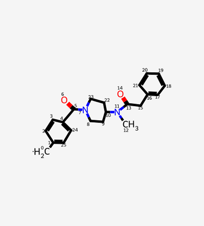 [CH2]c1ccc(C(=O)N2CCC(N(C)C(=O)Cc3ccccc3)CC2)cc1